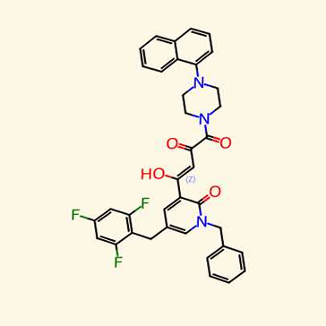 O=C(/C=C(\O)c1cc(Cc2c(F)cc(F)cc2F)cn(Cc2ccccc2)c1=O)C(=O)N1CCN(c2cccc3ccccc23)CC1